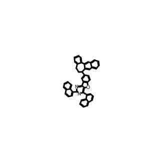 c1ccc2c(c1)CCC(c1ccc3oc4c(-c5cccc6ccccc56)nc(-c5cccc6ccccc56)nc4c3c1)c1cc3ccccc3cc1-2